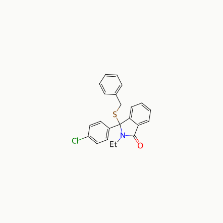 CCN1C(=O)c2ccccc2C1(SCc1ccccc1)c1ccc(Cl)cc1